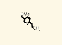 [CH2]OCc1ccc(CC=C)nc1